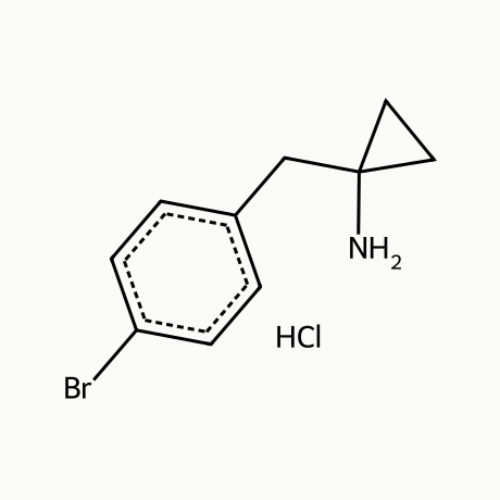 Cl.NC1(Cc2ccc(Br)cc2)CC1